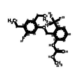 CCc1cc(CC)c(OCc2c(OC(=O)OC)cccc2C(F)(F)F)cc1F